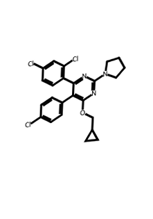 Clc1ccc(-c2c(OCC3CC3)nc(N3CCCC3)nc2-c2ccc(Cl)cc2Cl)cc1